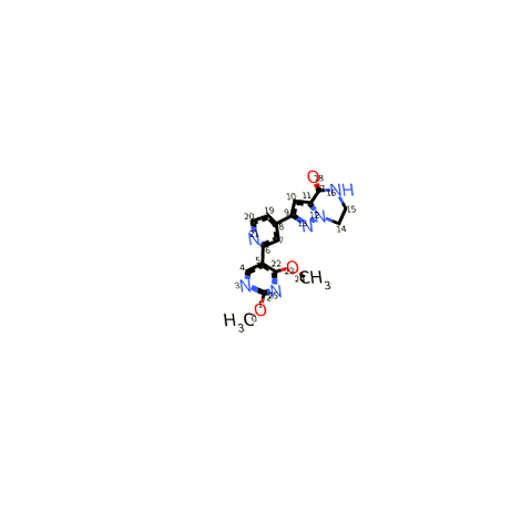 COc1ncc(-c2cc(-c3cc4n(n3)CCNC4=O)ccn2)c(OC)n1